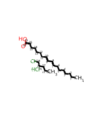 CCCCCCCCCCCCCCCCCC(=O)O.CCCCCCl.Cl